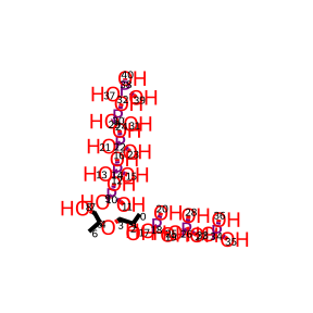 CC(O)COC(C)CO.OP(O)O.OP(O)O.OP(O)O.OP(O)O.OP(O)O.OP(O)O.OP(O)O.OP(O)O